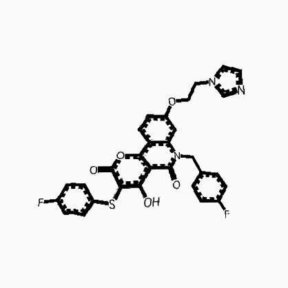 O=c1oc2c(c(O)c1Sc1ccc(F)cc1)c(=O)n(Cc1ccc(F)cc1)c1cc(OCCn3ccnc3)ccc21